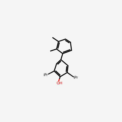 Cc1cccc(-c2cc(C(C)C)c(O)c(C(C)C)c2)c1C